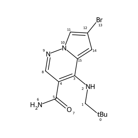 CC(C)(C)CNc1c(C(N)=O)cnn2cc(Br)cc12